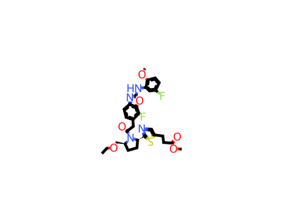 CCOC[C@@H]1CC[C@@H](c2ncc(CCC(=O)OC)s2)N1C(=O)Cc1ccc2nc(Nc3cc(F)ccc3OC)oc2c1F